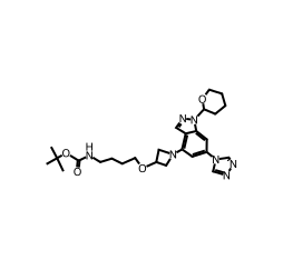 CC(C)(C)OC(=O)NCCCCOC1CN(c2cc(-n3cnnc3)cc3c2cnn3C2CCCCO2)C1